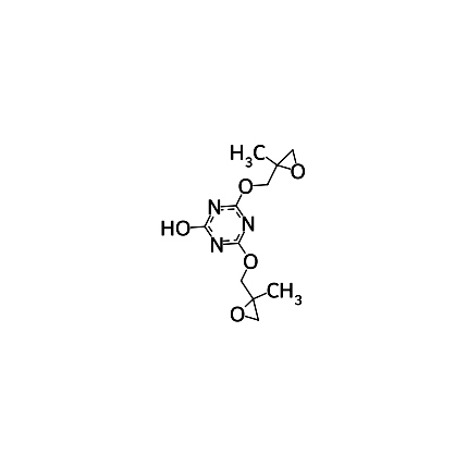 CC1(COc2nc(O)nc(OCC3(C)CO3)n2)CO1